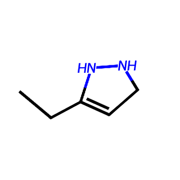 CCC1=CCNN1